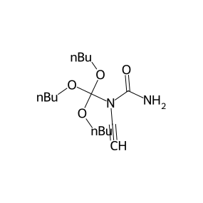 C#CN(C(N)=O)C(OCCCC)(OCCCC)OCCCC